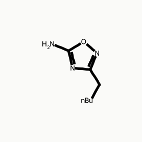 CCCCCc1noc(N)n1